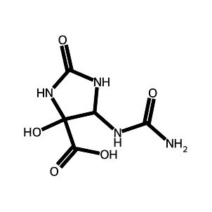 NC(=O)NC1NC(=O)NC1(O)C(=O)O